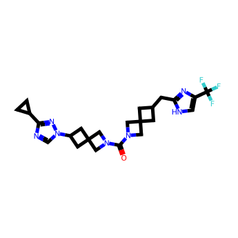 O=C(N1CC2(CC(Cc3nc(C(F)(F)F)c[nH]3)C2)C1)N1CC2(CC(n3cnc(C4CC4)n3)C2)C1